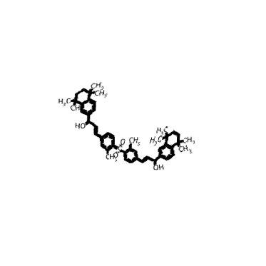 Cc1cc(C=CC(O)c2ccc3c(c2)C(C)(C)CCC3(C)C)ccc1S(=O)(=O)c1ccc(C=CC(O)c2ccc3c(c2)C(C)(C)CCC3(C)C)cc1C